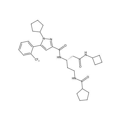 O=C(C[C@H](CCNC(=O)C1CCCC1)NC(=O)c1cc(-c2ccccc2C(F)(F)F)n(C2CCCC2)n1)NC1CCC1